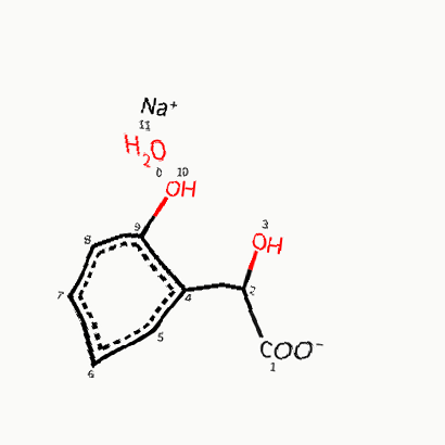 O.O=C([O-])C(O)c1ccccc1O.[Na+]